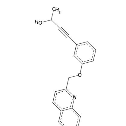 CC(O)C#Cc1cccc(OCc2ccc3ccccc3n2)c1